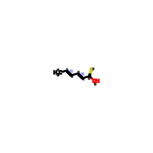 C/C=C/C=C/C(O)=S